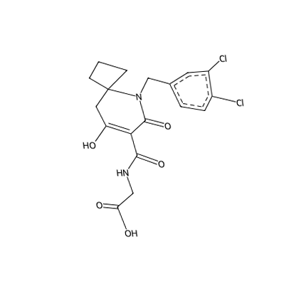 O=C(O)CNC(=O)C1=C(O)CC2(CCC2)N(Cc2ccc(Cl)c(Cl)c2)C1=O